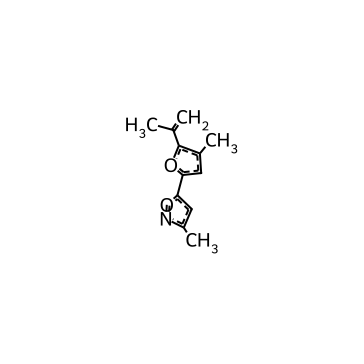 C=C(C)c1oc(-c2cc(C)no2)cc1C